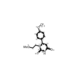 COCCn1c(-c2ccc(OC(F)(F)F)cc2)cc(=O)[nH]c1=S